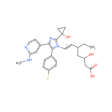 CCC(/C=C/n1c(C2(O)CC2)nc(-c2ccnc(NC)c2)c1-c1ccc(F)cc1)CC(O)CC(=O)O